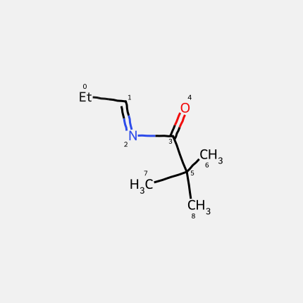 CC/C=N/C(=O)C(C)(C)C